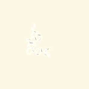 CCOC(=O)CC(NC(=O)CC1CCCN(c2ccc(C(=N)N)cc2)C1=O)c1ccccc1